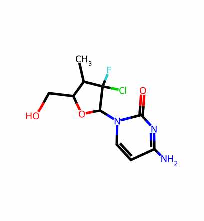 CC1C(CO)OC(n2ccc(N)nc2=O)C1(F)Cl